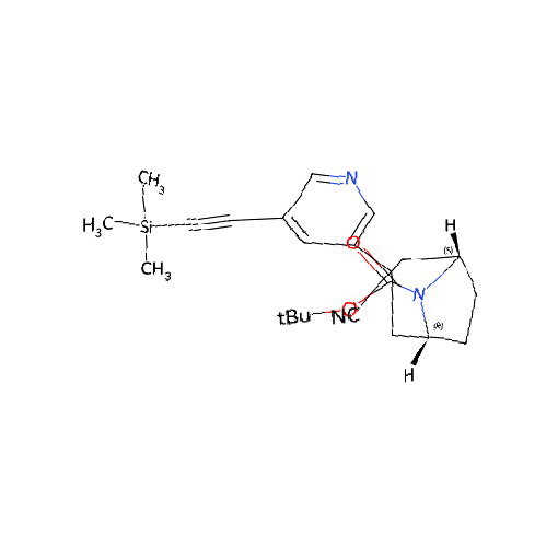 CC(C)(C)OC(=O)N1[C@@H]2CC[C@H]1CC(C#N)(c1cncc(C#C[Si](C)(C)C)c1)C2